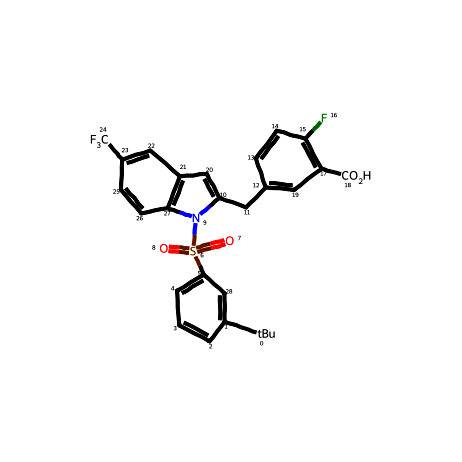 CC(C)(C)c1cccc(S(=O)(=O)n2c(Cc3ccc(F)c(C(=O)O)c3)cc3cc(C(F)(F)F)ccc32)c1